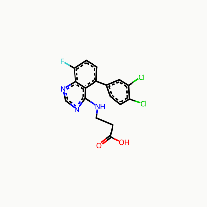 O=C(O)CCNc1ncnc2c(F)ccc(-c3ccc(Cl)c(Cl)c3)c12